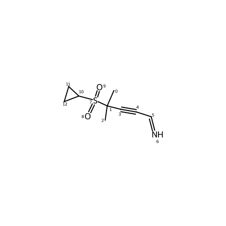 CC(C)(C#CC=N)S(=O)(=O)C1CC1